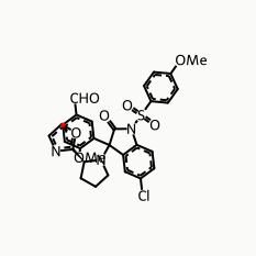 COc1ccc(S(=O)(=O)N2C(=O)C(c3cc(C=O)ccc3OC)(N3CCC[C@H]3c3ncco3)c3cc(Cl)ccc32)cc1